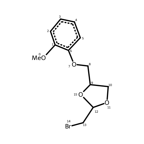 COc1ccccc1OCC1COC(CBr)O1